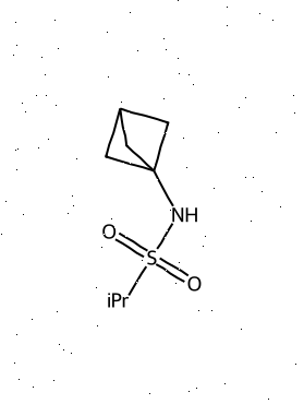 CC(C)S(=O)(=O)NC12CC(C1)C2